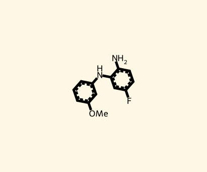 COc1cccc(Nc2cc(F)ccc2N)c1